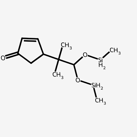 C[SiH2]OC(O[SiH2]C)C(C)(C)C1C=CC(=O)C1